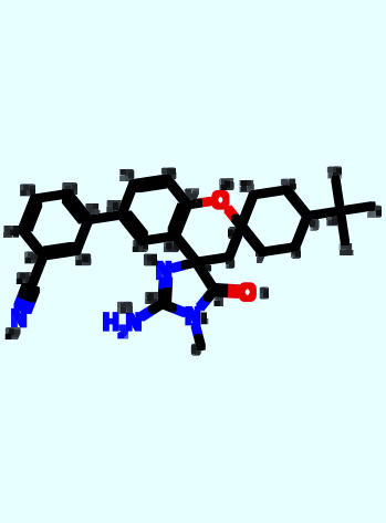 CN1C(=O)C2(CC3(CCC(C(C)(C)C)CC3)Oc3ccc(-c4cccc(C#N)c4)cc32)N=C1N